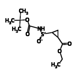 CCOC(=O)C1CC1[S@@+]([O-])NC(=O)OC(C)(C)C